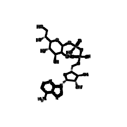 Nc1ccnc2c1ncn2[C@@H]1O[C@H](COP(=O)(O)OP(=O)(O)O[C@@H]2OC([C@H](O)CO)[C@@H](O)[C@H](O)C2O)C(O)[C@@H]1O